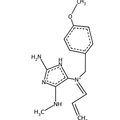 C=CC=[N+](Cc1ccc(OC)cc1)c1[nH]c(N)nc1NC